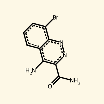 NC(=O)c1nnc2c(Br)cccc2c1N